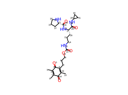 CC1=C(C)C(=O)C(CCCOC(=O)NCCC[C@H](NC(=O)[C@@H]2CCCN2)C(=O)NC2CC2)=C(C)C1=O